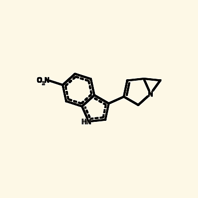 O=[N+]([O-])c1ccc2c(C3=CC4CN4C3)c[nH]c2c1